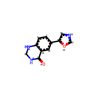 O=C1NCNc2ccc(-c3cnco3)cc21